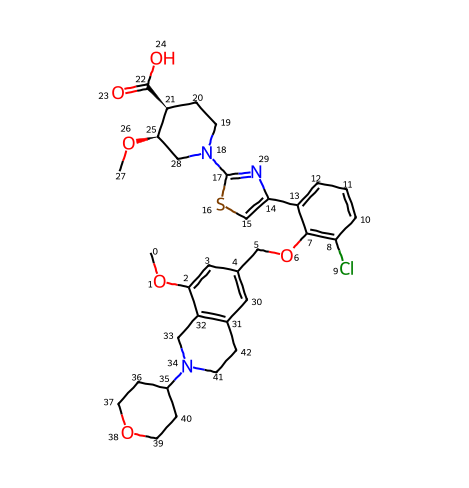 COc1cc(COc2c(Cl)cccc2-c2csc(N3CC[C@H](C(=O)O)[C@H](OC)C3)n2)cc2c1CN(C1CCOCC1)CC2